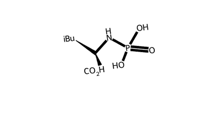 CC[C@H](C)[C@@H](NP(=O)(O)O)C(=O)O